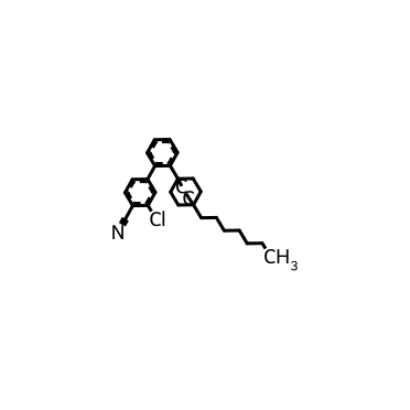 CCCCCCCC12CCC(c3ccccc3-c3ccc(C#N)c(Cl)c3)(CC1)CC2